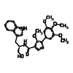 COc1cc(-c2scc(C(=O)N[C@@H](CO)Cc3c[nH]c4ccccc34)c2OC)cc(OC)c1OC